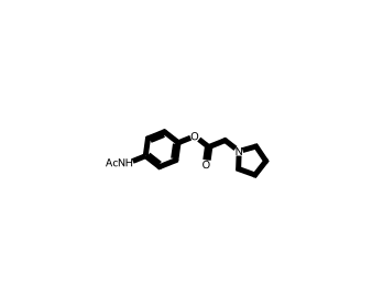 CC(=O)Nc1ccc(OC(=O)CN2CCCC2)cc1